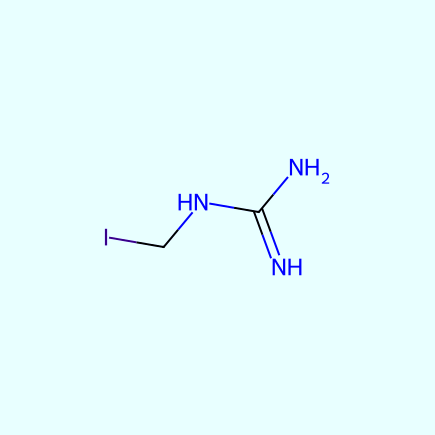 N=C(N)NCI